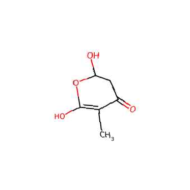 CC1=C(O)OC(O)CC1=O